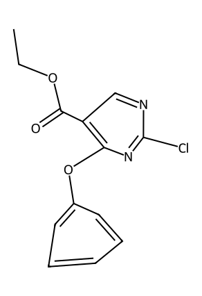 CCOC(=O)c1cnc(Cl)nc1Oc1ccccc1